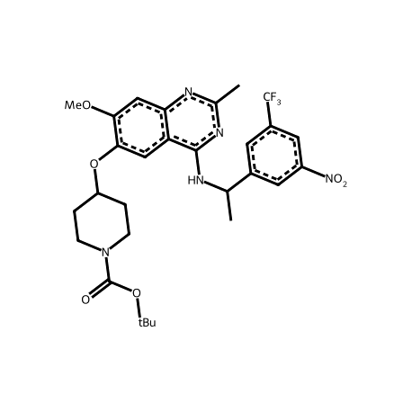 COc1cc2nc(C)nc(NC(C)c3cc([N+](=O)[O-])cc(C(F)(F)F)c3)c2cc1OC1CCN(C(=O)OC(C)(C)C)CC1